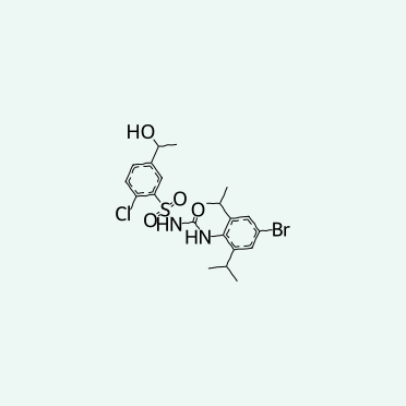 CC(C)c1cc(Br)cc(C(C)C)c1NC(=O)NS(=O)(=O)c1cc(C(C)O)ccc1Cl